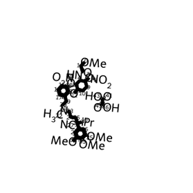 COCC(=O)NC1C(O[N+](=O)[O-])CCC(Oc2ccccc2CCN(C)CCCC(C#N)(c2cc(OC)c(OC)c(OC)c2)C(C)C)C1O[N+](=O)[O-].O=C(O)C(=O)O